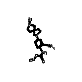 CCN1CCC2(CCN(c3ccc(NC(=O)OC(C)(C)C)c(N)c3)C2)C1